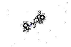 O=C1CC2(CCN(C(=O)/C=C/c3ccccc3C(F)(F)F)CC2)c2c(Br)cccc21